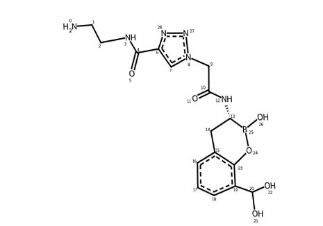 NCCNC(=O)c1cn(CC(=O)N[C@H]2Cc3cccc(C(O)O)c3OB2O)nn1